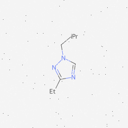 CCc1ncn(CC(C)C)n1